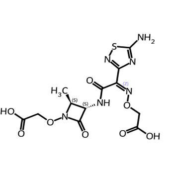 C[C@H]1[C@H](NC(=O)/C(=N\OCC(=O)O)c2nsc(N)n2)C(=O)N1OCC(=O)O